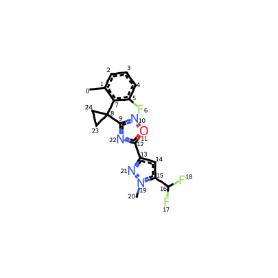 Cc1cccc(F)c1C1(c2noc(-c3cc(C(F)F)n(C)n3)n2)CC1